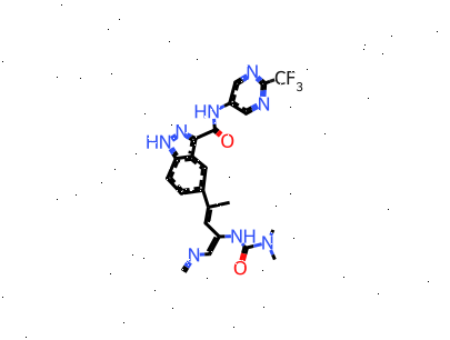 C=N/C=C(\C=C(/C)c1ccc2[nH]nc(C(=O)Nc3cnc(C(F)(F)F)nc3)c2c1)NC(=O)N(C)C